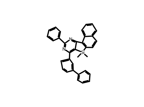 C[Si]1(C)c2ccc3ccccc3c2-c2nc(-c3ccccc3)nc(-c3cccc(-c4ccccc4)c3)c21